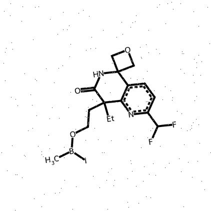 CCC1(CCOB(C)I)C(=O)NC2(COC2)c2ccc(C(F)F)nc21